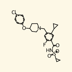 O=C(NS(=O)(=O)C1CC1)c1cc(C2CC2)c(CN2CCC(Oc3ccc(Cl)cc3)CC2)cc1F